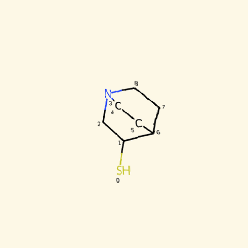 SC1CN2CCC1CC2